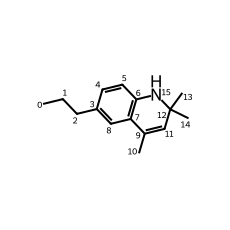 CCCc1ccc2c(c1)C(C)=CC(C)(C)N2